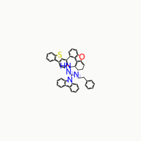 N=C(/N=C(\N=C\Cc1ccccc1)n1c2ccccc2c2ccccc21)C1=c2c(oc3cccc(-c4cccc5c4sc4ccccc45)c23)=CCC1